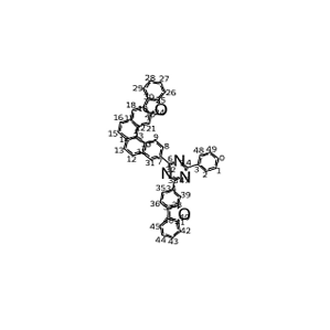 c1ccc(-c2nc(-c3ccc4c(ccc5ccc6cc7c(cc6c54)oc4ccccc47)c3)nc(-c3ccc4c(c3)oc3ccccc34)n2)cc1